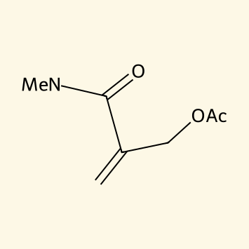 C=C(COC(C)=O)C(=O)NC